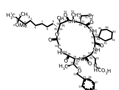 COC(C)(C)CCCCCC[C@H]1OC(=O)CNC(=O)[C@H]([C@H](C)OCc2ccccc2)NC(=O)[C@H](CNC(=O)O)NC(=O)[C@H](C2CCCCC2)NC(=O)[C@H](CC(C)C)N(C)C(=O)[C@@H]1C